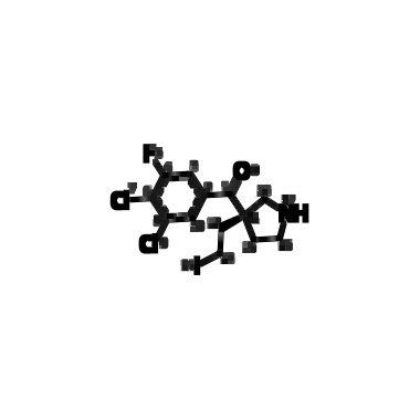 O=C(c1cc(F)c(Cl)c(Cl)c1)[C@@]1(CCI)CCNC1